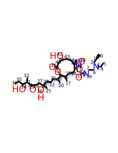 C#CCN(CC)CCN(C)C(=O)OC1/C=C/C(C)C(/C(C)=C/C=C/C(C)(O)CC2OC2C(C)C(O)CC)OC(=O)CC(O)CCC1(C)N=O